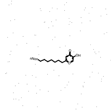 CCCCCCCCCCCCCCCCc1cc(=O)c(O)co1